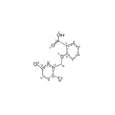 O=C(O)c1ccccc1OCc1cc(Cl)ccc1Cl